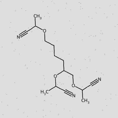 CC(C#N)OCCCCC(COC(C)C#N)OC(C)C#N